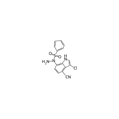 N#Cc1ccc(N(N)S(=O)(=O)c2ccccc2)c2[nH]cc(Cl)c12